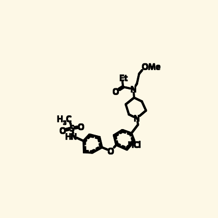 CCC(=O)N(CCOC)C1CCN(Cc2ccc(Oc3ccc(NS(C)(=O)=O)cc3)cc2)CC1.Cl